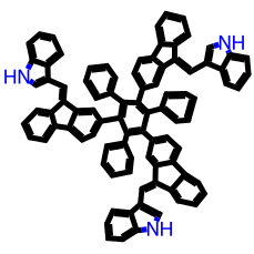 C(=C1/c2ccccc2-c2ccc(-c3c(-c4ccccc4)c(-c4ccc5c(c4)/C(=C/c4c[nH]c6ccccc46)c4ccccc4-5)c(-c4ccccc4)c(-c4ccc5c(c4)/C(=C/c4c[nH]c6ccccc46)c4ccccc4-5)c3-c3ccccc3)cc21)/c1c[nH]c2ccccc12